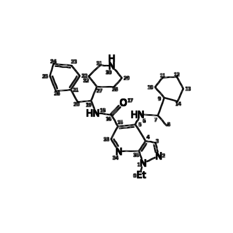 CCn1ncc2c(NC(C)C3CCCCC3)c(C(=O)NC(Cc3ccccc3)C3CCNCC3)cnc21